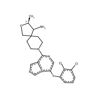 C[C@@H]1OCC2(CCN(c3ncc(Sc4cccc(Cl)c4Cl)n4cncc34)CC2)C1N